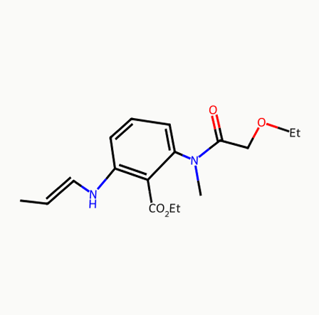 CC=CNc1cccc(N(C)C(=O)COCC)c1C(=O)OCC